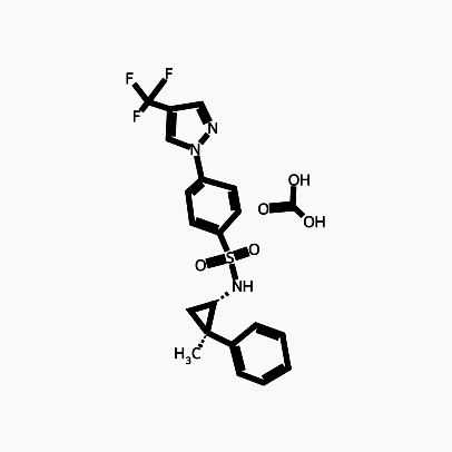 C[C@]1(c2ccccc2)C[C@@H]1NS(=O)(=O)c1ccc(-n2cc(C(F)(F)F)cn2)cc1.O=C(O)O